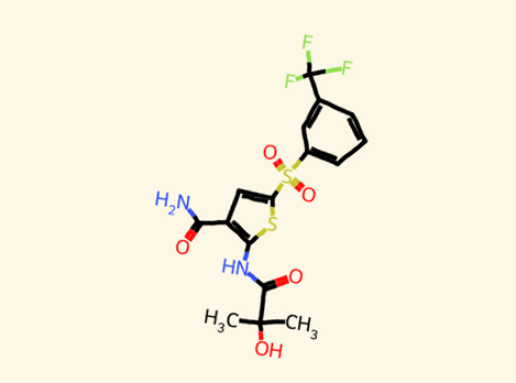 CC(C)(O)C(=O)Nc1sc(S(=O)(=O)c2cccc(C(F)(F)F)c2)cc1C(N)=O